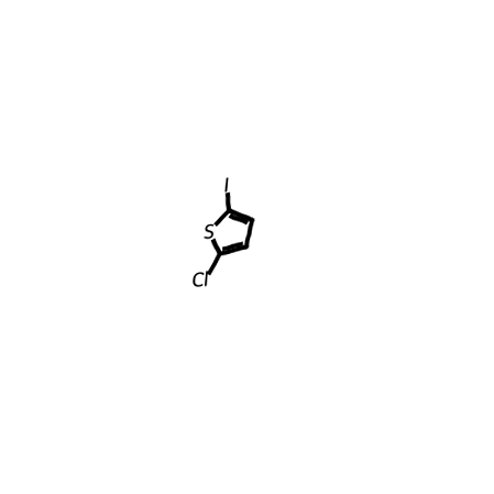 Clc1ccc(I)s1